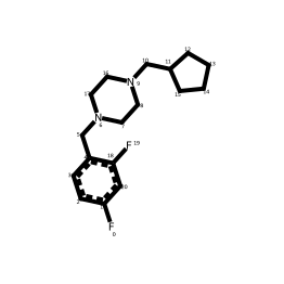 Fc1ccc(CN2CCN(CC3CCCC3)CC2)c(F)c1